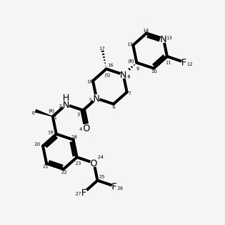 C[C@@H](NC(=O)N1CCN([C@H]2C=C(F)N=CC2)[C@@H](C)C1)c1cccc(OC(F)F)c1